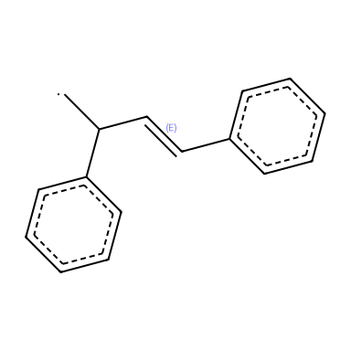 [CH2]C(/C=C/c1ccccc1)c1ccccc1